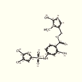 Cn1c(COC(=O)c2ccc(NS(=O)(=O)c3cc(Cl)c(Cl)s3)cc2O)cnc1N=O